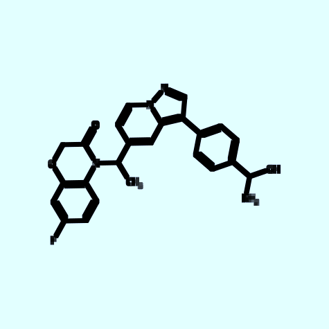 CC(c1ccn2ncc(-c3ccc(C(N)O)cc3)c2c1)N1C(=O)COc2cc(F)ccc21